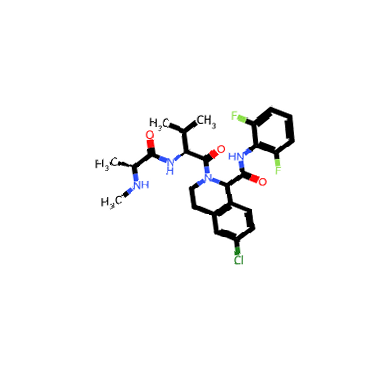 CN[C@@H](C)C(=O)N[C@H](C(=O)N1CCc2cc(Cl)ccc2C1C(=O)Nc1c(F)cccc1F)C(C)C